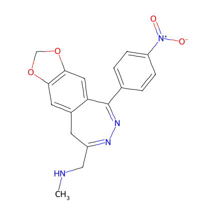 CNCC1=NN=C(c2ccc([N+](=O)[O-])cc2)c2cc3c(cc2C1)OCO3